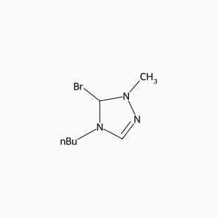 CCCCN1C=NN(C)C1Br